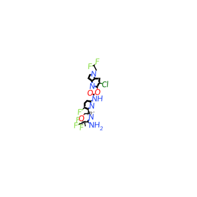 C[C@@]1(c2nc(NC(=O)Oc3nc4ccn(CC(F)F)c4cc3Cl)ccc2F)CO[C@@](C)(C(F)(F)F)C(N)=N1